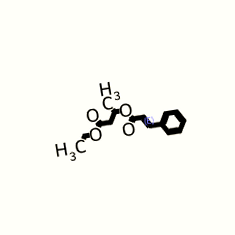 CCOC(=O)CC(C)OC(=O)/C=C/c1ccccc1